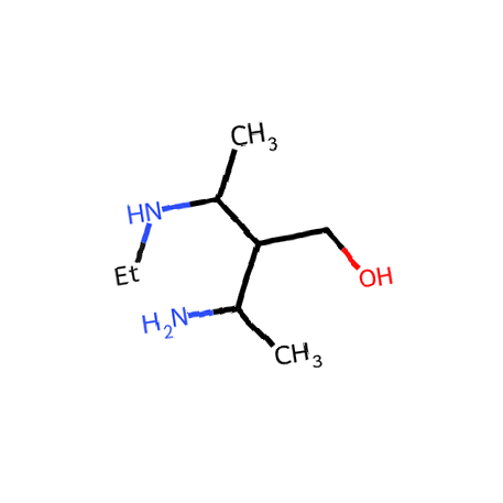 CCNC(C)C(CO)C(C)N